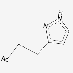 CC(=O)CCc1cc[nH]n1